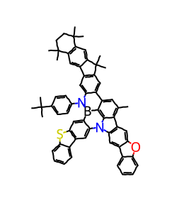 Cc1cc2c3c4c1c1cc5oc6ccccc6c5cc1n4-c1cc4c(cc1B3N(c1ccc(C(C)(C)C)cc1)c1cc3c(cc1-2)C(C)(C)c1cc2c(cc1-3)C(C)(C)CCC2(C)C)sc1ccccc14